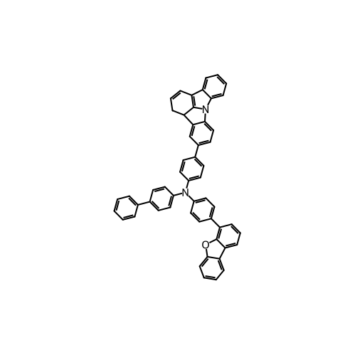 C1=Cc2c3n(c4ccccc24)-c2ccc(-c4ccc(N(c5ccc(-c6ccccc6)cc5)c5ccc(-c6cccc7c6oc6ccccc67)cc5)cc4)cc2C3C1